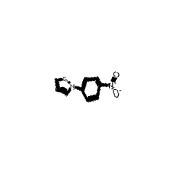 O=[N+]([O-])c1ccc(N2C=CCS2)cc1